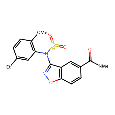 CCc1ccc(OC)c(N(c2noc3ccc(C(=O)NC)cc23)[SH](=O)=O)c1